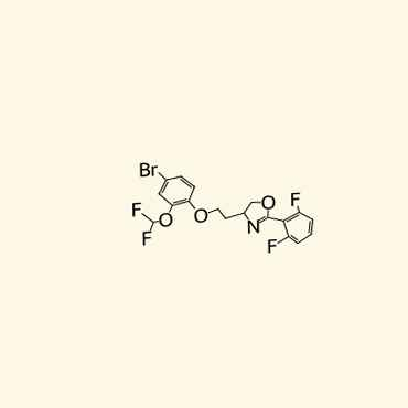 Fc1cccc(F)c1C1=NC(CCOc2ccc(Br)cc2OC(F)F)CO1